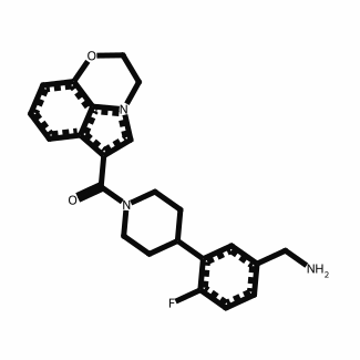 NCc1ccc(F)c(C2CCN(C(=O)c3cn4c5c(cccc35)OCC4)CC2)c1